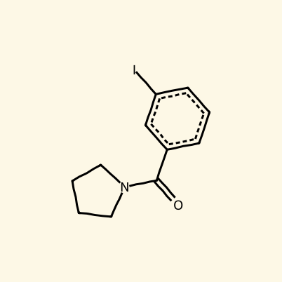 O=C(c1cccc(I)c1)N1CCCC1